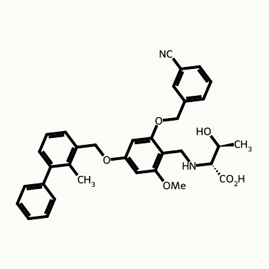 COc1cc(OCc2cccc(-c3ccccc3)c2C)cc(OCc2cccc(C#N)c2)c1CN[C@@H](C(=O)O)[C@H](C)O